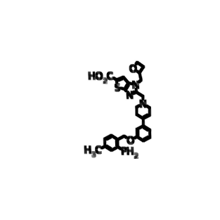 Cc1ccc(COc2cccc(C3=CCN(Cc4nc5sc(C(=O)O)cc5n4CC4CCO4)CC3)c2)c(P)c1